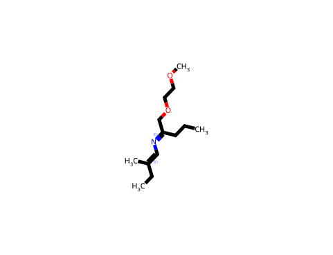 CCC/C(COCCOC)=N\C=C(/C)CC